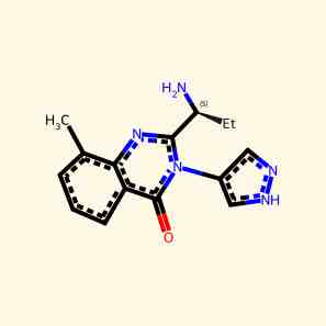 CC[C@H](N)c1nc2c(C)cccc2c(=O)n1-c1cn[nH]c1